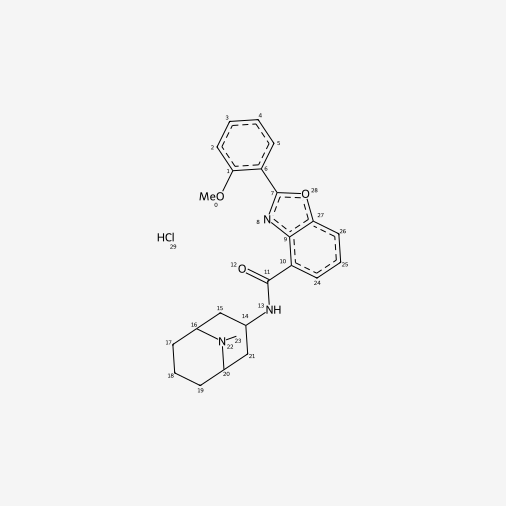 COc1ccccc1-c1nc2c(C(=O)NC3CC4CCCC(C3)N4C)cccc2o1.Cl